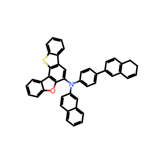 C1=Cc2cc(-c3ccc(N(c4ccc5ccccc5c4)c4cc5c6ccccc6sc5c5c4oc4ccccc45)cc3)ccc2CC1